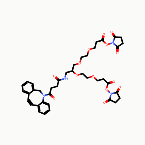 O=C(CCC(=O)N1Cc2ccccc2C#Cc2ccccc21)NCC(COCCOCCC(=O)ON1C(=O)CCC1=O)OCCOCCC(=O)ON1C(=O)CCC1=O